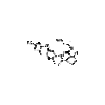 CSC[C@H](C)NC(=O)c1c(Cl)cccc1C(=O)Nc1cnc(Cn2nc(C(F)(F)F)cc2C(F)(F)F)nc1C